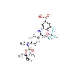 C[C@H](Nc1cc(C(=O)O)cc(F)c1OC(F)(F)F)C1CCC(N(C)C(=O)OC(C)(C)C)CC1